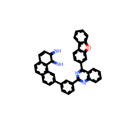 N=C1C=Cc2ccc3ccc(-c4cccc(-c5nc(-c6ccc7c(c6)oc6ccccc67)c6ccccc6n5)c4)cc3c2C1=N